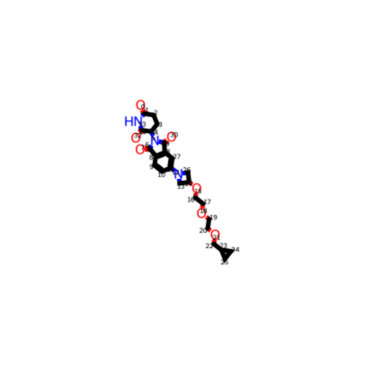 O=C1CCC(N2C(=O)c3ccc(N4CC(OCCOCCOCC5CC5)C4)cc3C2=O)C(=O)N1